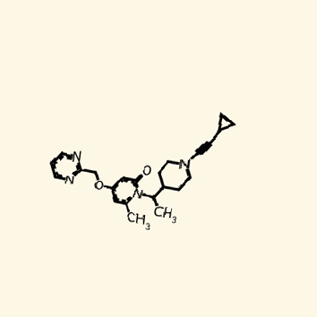 Cc1cc(OCc2ncccn2)cc(=O)n1C(C)C1CCN(C#CC2CC2)CC1